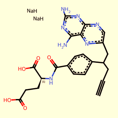 C#CCC(Cc1cnc2nc(N)nc(N)c2n1)c1ccc(C(=O)N[C@@H](CCC(=O)O)C(=O)O)cc1.[NaH].[NaH]